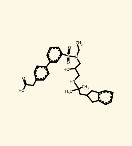 CCN(CC(O)CNC(C)(C)CC1Cc2ccccc2C1)S(=O)(=O)c1cccc(-c2ccc(CC(=O)O)cc2)c1